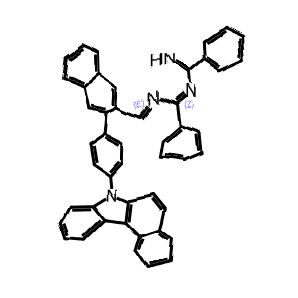 N=C(/N=C(\N=C\c1cc2ccccc2cc1-c1ccc(-n2c3ccccc3c3c4ccccc4ccc32)cc1)c1ccccc1)c1ccccc1